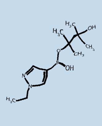 CCn1cc(B(O)OC(C)(C)C(C)(C)O)cn1